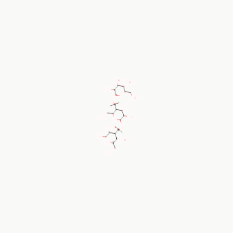 CC(C)(OC1OC(CO)C(O)C(O)C1O)C1C(CO)OC(OC(C)(C)C([C@H](O)CO)[C@H](O)[C@@H](O)CO)C(O)C1O